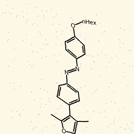 CCCCCCOc1ccc(/N=N/c2ccc(-c3c(C)coc3C)cc2)cc1